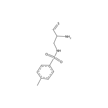 Cc1ccc(S(=O)(=O)NCC(N)[C]=S)cc1